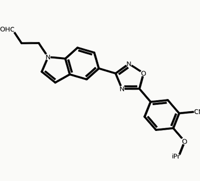 CC(C)Oc1ccc(-c2nc(-c3ccc4c(ccn4CCC=O)c3)no2)cc1C#N